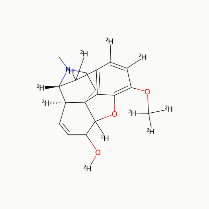 [2H]OC1C=C[C@]2([2H])[C@@]34CCN(C)[C@]2([2H])C([2H])([2H])c2c([2H])c([2H])c(OC([2H])([2H])[2H])c(c23)OC14[2H]